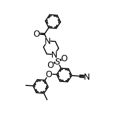 Cc1cc(C)cc(Oc2ccc(C#N)cc2S(=O)(=O)N2CCN(C(=O)c3ccccc3)CC2)c1